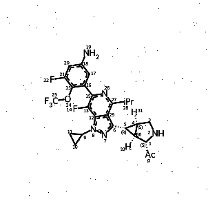 CC(=O)[C@H]1NC[C@@H]2[C@@H](c3nn(C4CC4)c4c(F)c(-c5cc(N)cc(F)c5OC(F)(F)F)nc(C(C)C)c34)[C@@H]21